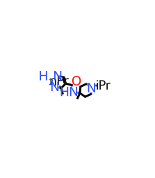 CCC/N=C(C)\C(=C/N)C(=O)NC1(C)CCN(C(C)C)CC1